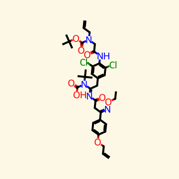 C=CCOc1ccc(C(CC(=O)N=C(Cc2cc(Cl)c(NC(=O)CN(CC=C)C(=O)OC(C)(C)C)c(Cl)c2)N(C(=O)O)C(C)(C)C)=NOCC)cc1